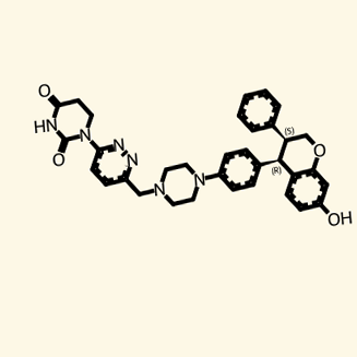 O=C1CCN(c2ccc(CN3CCN(c4ccc([C@@H]5c6ccc(O)cc6OC[C@@H]5c5ccccc5)cc4)CC3)nn2)C(=O)N1